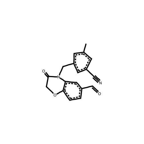 Cc1cc(C#N)cc(CN2C(=O)COc3ccc(C=O)cc32)c1